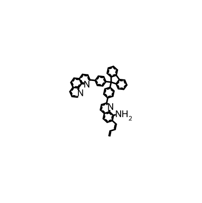 C=C/C=C\c1ccc2ccc(-c3ccc(C4(c5ccc(-c6ccc7ccc8cccnc8c7n6)cc5)c5ccccc5-c5ccccc54)cc3)nc2c1N